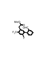 COC(=O)Cc1cc(-c2ccccc2C=O)c(F)cc1C(F)(F)F